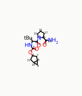 CC(C)(C)C(NC(=O)OC1CC2CC2C1)C(=O)N1CCCC1C(N)=O